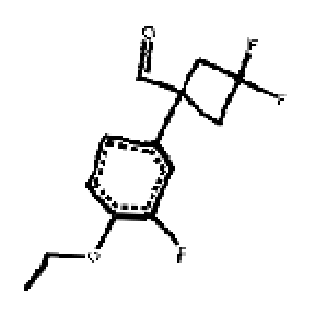 CCOc1ccc(C2(C=O)CC(F)(F)C2)cc1F